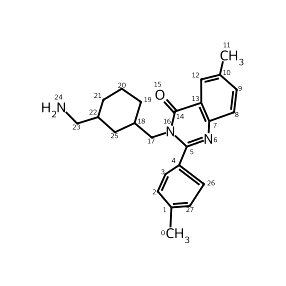 Cc1ccc(-c2nc3ccc(C)cc3c(=O)n2CC2CCCC(CN)C2)cc1